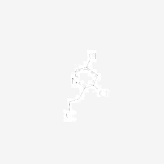 ClCCc1ncc(Cl)cc1Cl